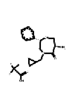 N[C@@H]1CS[C@@H](c2ccccc2)CN(CC2CC2)C1=O.O=C(O)C(F)(F)F